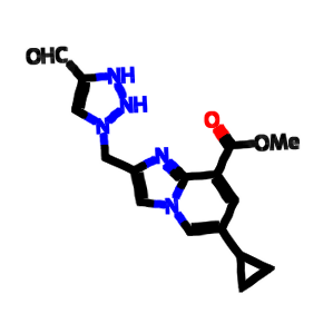 COC(=O)c1cc(C2CC2)cn2cc(CN3C=C(C=O)NN3)nc12